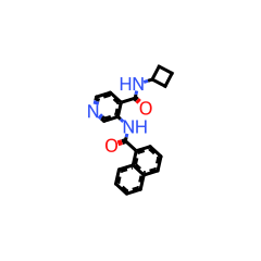 O=C(NC1CCC1)c1ccncc1NC(=O)c1cccc2ccccc12